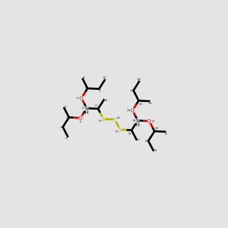 CCC(C)O[SiH](OC(C)CC)C(C)SSSC(C)[SiH](OC(C)CC)OC(C)CC